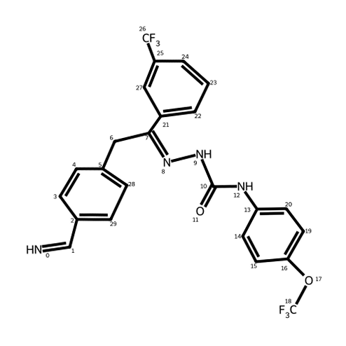 N=Cc1ccc(CC(=NNC(=O)Nc2ccc(OC(F)(F)F)cc2)c2cccc(C(F)(F)F)c2)cc1